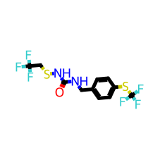 O=C(NCc1ccc(SC(F)(F)F)cc1)NSCC(F)(F)F